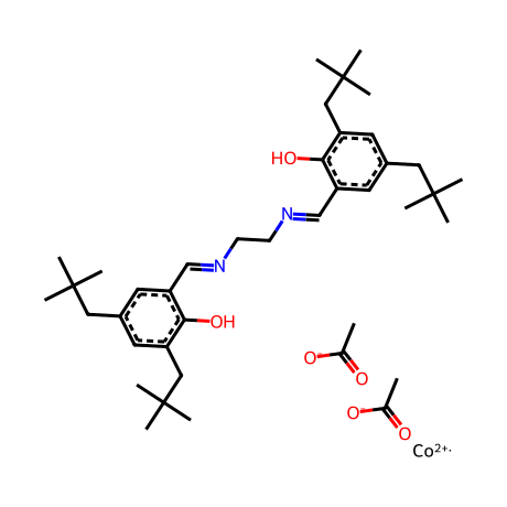 CC(=O)[O-].CC(=O)[O-].CC(C)(C)Cc1cc(C=NCCN=Cc2cc(CC(C)(C)C)cc(CC(C)(C)C)c2O)c(O)c(CC(C)(C)C)c1.[Co+2]